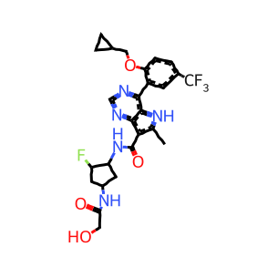 Cc1[nH]c2c(-c3cc(C(F)(F)F)ccc3OCC3CC3)ncnc2c1C(=O)NC1CC(NC(=O)CO)CC1F